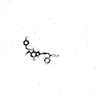 CCn1cc(C(=S)NCc2ccc(Cl)cc2)c(=S)c2cc(C#CCC(C(=O)O)N3CCOCC3)sc21